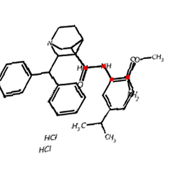 COc1ccc(C(C)C)cc1CNC1C2CCN(CC2C(=O)NCC(N)=O)C1C(c1ccccc1)c1ccccc1.Cl.Cl